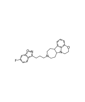 Fc1ccc2c(CCCN3CCC4c5cccc6c5N(CCO6)C4CC3)noc2c1